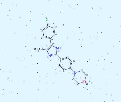 O=C(O)c1nc(-c2ccc(N3CCOCC3)cc2)[nH]c1-c1ccc(Cl)cc1